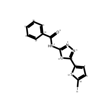 O=C(Nc1nnc(-c2ccc(I)s2)o1)c1ccccc1